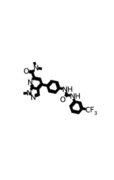 CN(C)C(=O)c1cc(-c2ccc(NC(=O)Nc3cccc(C(F)(F)F)c3)cc2)c2cnn(C)c2n1